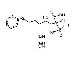 O=P(O)(O)C(O)(CCCCCSc1ccccn1)P(=O)(O)O.[NaH].[NaH].[NaH]